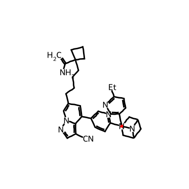 C=C(N)C1(CCCCc2cc(-c3ccc(N4CC5CC(C4)N5Cc4ccc(CC)nc4)nc3)c3c(C#N)cnn3c2)CCC1